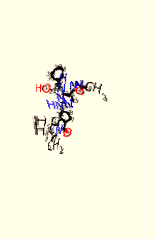 C=CCN1C(=O)c2ccc(Nc3ncc(-c4nnc(C)o4)c(N[C@H](CO)c4ccccc4)n3)cc2C1(C)C